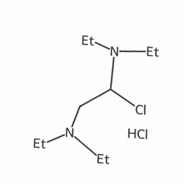 CCN(CC)CC(Cl)N(CC)CC.Cl